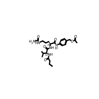 CCCC(=O)N[C@H](C(=O)N[C@@H](CCCNC(N)=O)C(=O)Nc1ccc(COC(C)=O)cc1)C(C)C